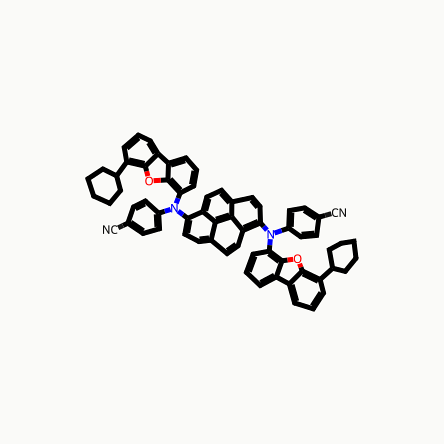 N#Cc1ccc(N(c2ccc3ccc4c(N(c5ccc(C#N)cc5)c5cccc6c5oc5c(C7CCCCC7)cccc56)ccc5ccc2c3c54)c2cccc3c2oc2c(C4CCCCC4)cccc23)cc1